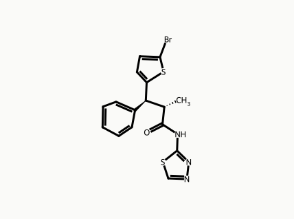 C[C@H](C(=O)Nc1nncs1)[C@@H](c1ccccc1)c1ccc(Br)s1